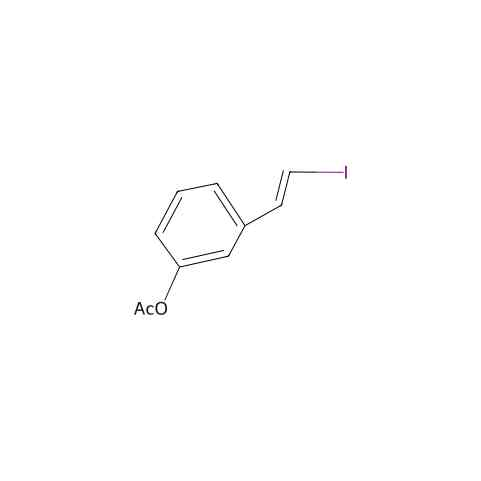 CC(=O)Oc1cccc(/C=C/I)c1